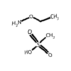 CCON.CS(=O)(=O)O